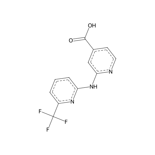 O=C(O)c1ccnc(Nc2cccc(C(F)(F)F)n2)c1